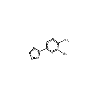 CC(C)(C)c1nc(-c2cscn2)cnc1N